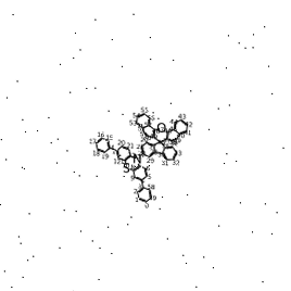 c1ccc(-c2ccc3c(c2)Sc2cc(-c4ccccc4)ccc2N3c2ccc3c(c2)-c2ccccc2C32c3ccc4ccccc4c3Oc3c2ccc2ccccc32)cc1